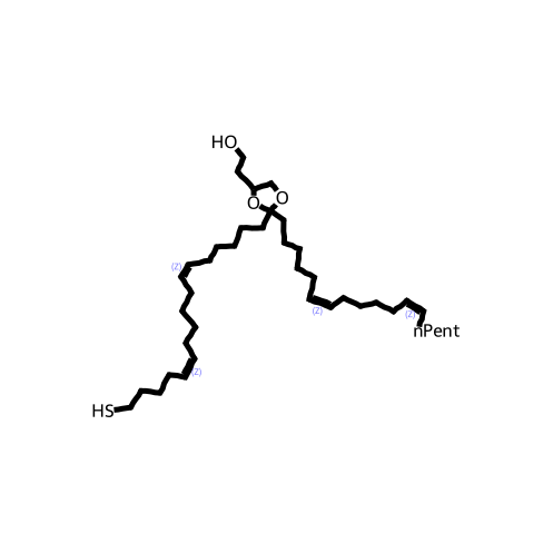 CCCCC/C=C\CCCC/C=C\CCCCCC1(CCCCC/C=C\CCCC/C=C\CCCCS)OCC(CCO)O1